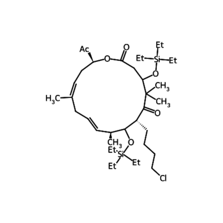 CC[Si](CC)(CC)OC1[C@@H](C)/C=C/C/C(C)=C\C[C@@H](C(C)=O)OC(=O)CC(O[Si](CC)(CC)CC)C(C)(C)C(=O)[C@@H]1CCCCCl